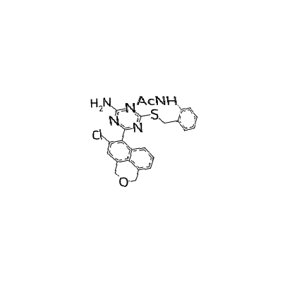 CC(=O)Nc1ccccc1CSc1nc(N)nc(-c2c(Cl)cc3c4c(cccc24)COC3)n1